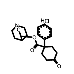 Cl.O=C1CCC(C(=O)OC2CN3CCC2CC3)(c2ccccc2)CC1